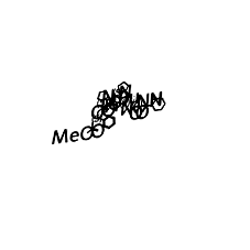 COC(=O)C[C@H](OC(=O)[C@@H]1CCCN1C(=O)[C@@H]1CCCN1C[C@H](C(C)C)N(C)C(=O)[C@@H](NC(=O)C1CCCCN1C)C(C)(C)C)c1ccccc1